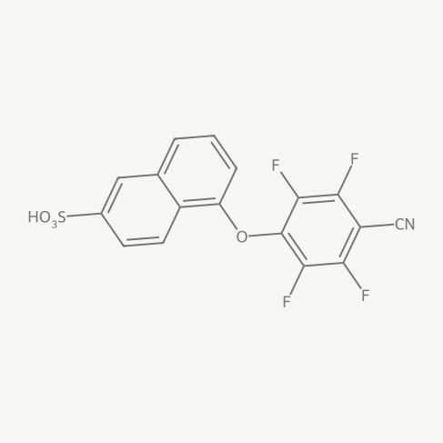 N#Cc1c(F)c(F)c(Oc2cccc3cc(S(=O)(=O)O)ccc23)c(F)c1F